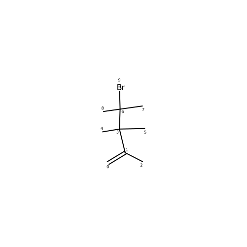 C=C(C)C(C)(C)C(C)(C)Br